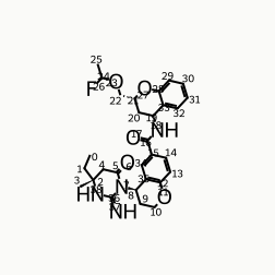 CC[C@]1(C)CC(=O)N([C@@H]2CCOc3ccc(C(=O)N[C@H]4C[C@H](COC(C)F)Oc5ccccc54)cc32)C(=N)N1